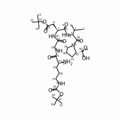 CC(C)[C@H](NC(=O)[C@H](CC(=O)OC(C)(C)C)NC(=O)CNC(=O)[C@@H](N)CCCNC(=O)OC(C)(C)C)C(=O)N1CCC[C@H]1C(=O)O